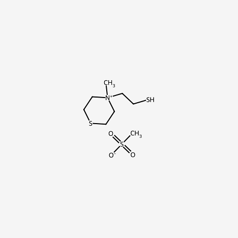 CS(=O)(=O)[O-].C[N+]1(CCS)CCSCC1